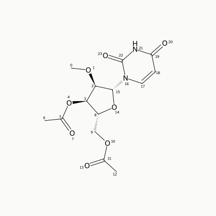 CO[C@@H]1[C@H](OC(C)=O)[C@@H](COC(C)=O)O[C@H]1n1ccc(=O)[nH]c1=O